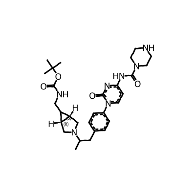 CC(Cc1ccc(-n2ccc(NC(=O)N3CCNCC3)nc2=O)cc1)N1C[C@@H]2C(CNC(=O)OC(C)(C)C)[C@@H]2C1